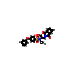 CN(C(CO)CN1C(=O)c2ccccc2C1=O)S(=O)(=O)c1ccc(Oc2ccccc2)cc1